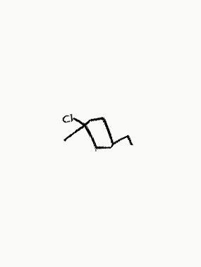 CCC1[CH]C(C)(Cl)C1